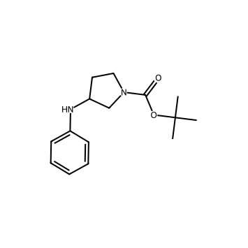 CC(C)(C)OC(=O)N1CCC(Nc2ccccc2)C1